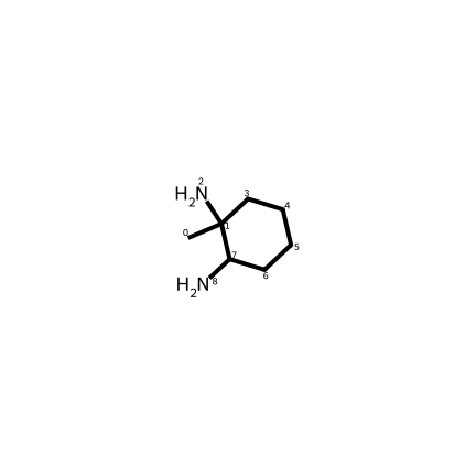 CC1(N)CCCCC1N